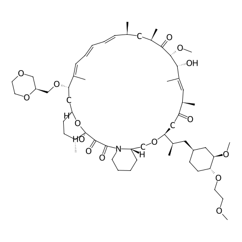 COCCO[C@@H]1CC[C@@H](C[C@@H](C)[C@@H]2CC(=O)[C@H](C)/C=C(\C)[C@@H](O)[C@@H](OC)C(=O)[C@H](C)C[C@H](C)/C=C/C=C/C=C(\C)[C@@H](OC[C@@H]3COCCO3)C[C@@H]3CC[C@@H](C)[C@@](O)(O3)C(=O)C(=O)N3CCCC[C@H]3CO2)C[C@H]1OC